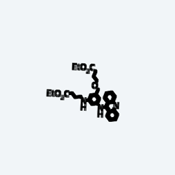 CCOC(=O)CCCNc1cc(COCCCC(=O)OCC)cc(Nc2c3ccccc3nc3ccccc23)c1